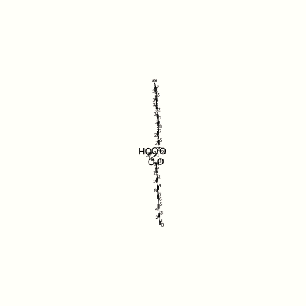 C#CC#CC#CC#CC#CC#CC#CC(=O)O[C@H](CO)COC(=O)C#CC#CC#CC#CC#CC#CC#CC